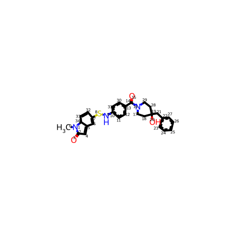 CN1C(=O)C=C2C=C(SNc3ccc(C(=O)N4CCC(O)(Cc5ccccc5)CC4)cc3)C=CC21